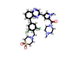 CN1CCN(C(=O)c2cc(-c3cnc4cccc(-c5cc(F)c(CN6CCS(=O)(=O)CC6)c(F)c5)c4n3)cn2C)CC1